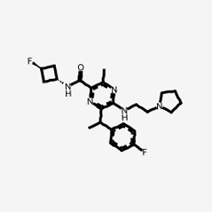 Cc1nc(NCCN2CCCC2)c(C(C)c2ccc(F)cc2)nc1C(=O)N[C@H]1C[C@H](F)C1